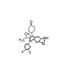 CC(C)c1c(C2CCC(=O)CC2)c2cc3[nH]cnc3cc2n1-c1ccc(F)c(F)c1